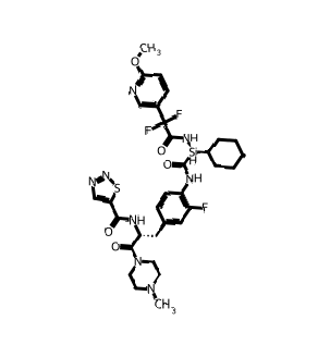 COc1ccc(C(F)(F)C(=O)N[Si@H](C(=O)Nc2ccc(C[C@@H](NC(=O)c3cnns3)C(=O)N3CCN(C)CC3)cc2F)C2CCCCC2)cn1